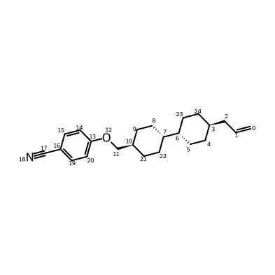 C=CC[C@H]1CC[C@H]([C@H]2CC[C@H](COc3ccc(C#N)cc3)CC2)CC1